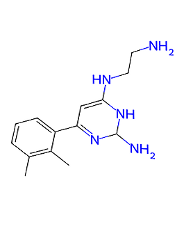 Cc1cccc(C2=NC(N)NC(NCCN)=C2)c1C